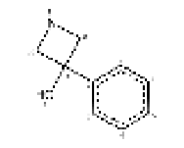 OC1(c2ccccc2)C[N]C1